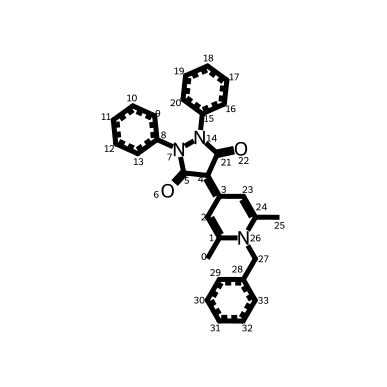 CC1=CC(=C2C(=O)N(c3ccccc3)N(c3ccccc3)C2=O)C=C(C)N1Cc1ccccc1